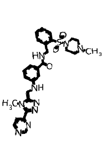 CN1CCN(S(=O)(=O)c2ccccc2CNC(=O)c2cccc(NCc3nnc(-c4ccncn4)n3C)c2)CC1